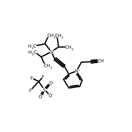 C#CC[n+]1ccccc1C#C[Si](C(C)C)(C(C)C)C(C)C.O=S(=O)([O-])C(F)(F)F